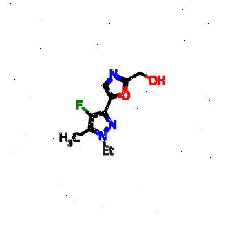 CCn1nc(-c2cnc(CO)o2)c(F)c1C